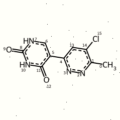 Cc1nnc(-c2c[nH]c(=O)[nH]c2=O)cc1Cl